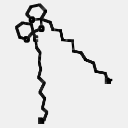 BrCCCCCCCCCCCC1(OC2(CCCCCCCCCCCBr)CCCCO2)CCCCO1